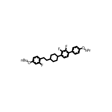 CCCCOc1ccc(CCC2CCC(c3ccc(-c4ccc(OCCC)cc4)c(F)c3F)CC2)c(F)c1